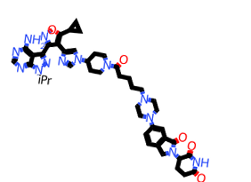 CC(C)n1nc(-c2noc(C3CC3)c2-c2cn(C3CCN(C(=O)CCCCN4CCN(c5ccc6c(c5)C(=O)N(C5CCC(=O)NC5=O)C6)CC4)CC3)cn2)c2c(N)ncnc21